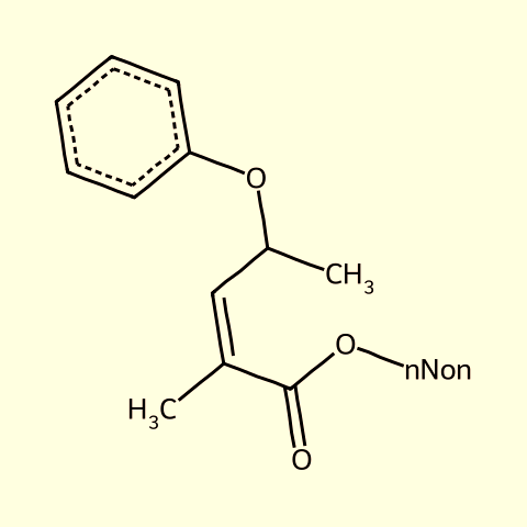 CCCCCCCCCOC(=O)C(C)=CC(C)Oc1ccccc1